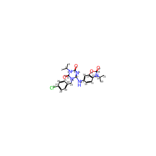 CC(C)n1c(=O)nc(Nc2ccc3c(c2)oc(=O)n3C(C)C)n(Cc2ccc(Cl)cc2)c1=O